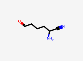 N#CC(N)CCCC=O